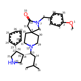 COc1ccc(CN2CC3(CCN(C(CC(C)C)[C@@H]4CNC[C@@H]4c4ccccc4)CC3)CC2=O)cc1